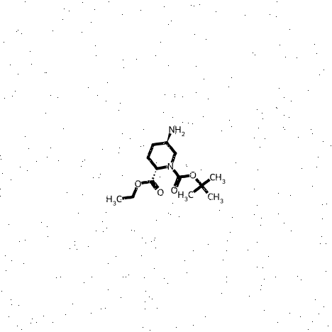 CCOC(=O)[C@@H]1CC[C@@H](N)CN1C(=O)OC(C)(C)C